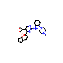 CN1CCN(c2ccccc2Nc2ncc(C3COC3)c(-c3ccc4cccc-4o3)n2)CC1